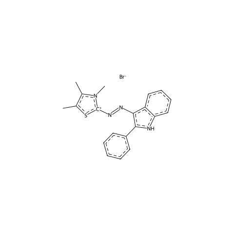 Cc1s[c+](N=Nc2c(-c3ccccc3)[nH]c3ccccc23)n(C)c1C.[Br-]